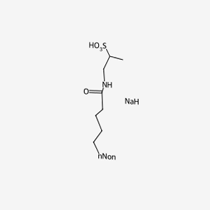 CCCCCCCCCCCCCC(=O)NCC(C)S(=O)(=O)O.[NaH]